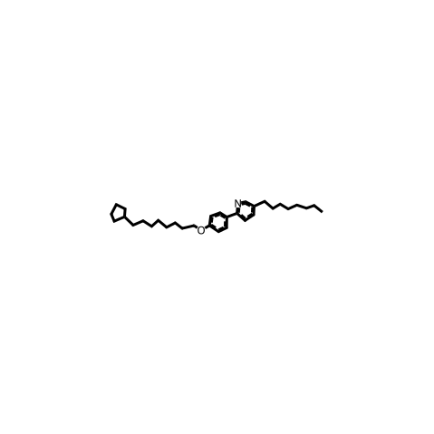 CCCCCCCCc1ccc(-c2ccc(OCCCCCCCCC3CCCC3)cc2)nc1